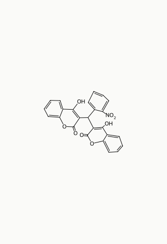 O=c1oc2ccccc2c(O)c1C(c1ccccc1[N+](=O)[O-])c1c(O)c2ccccc2oc1=O